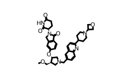 COC[C@@H]1CN(Cc2ccc3nc(C4CCN(C5COC5)CC4)ccc3c2)C[C@H]1Oc1ccc2c(c1)CN([C@H]1CCC(=O)NC1=O)C2=O